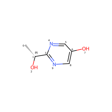 C[C@@H](O)c1ncc(O)cn1